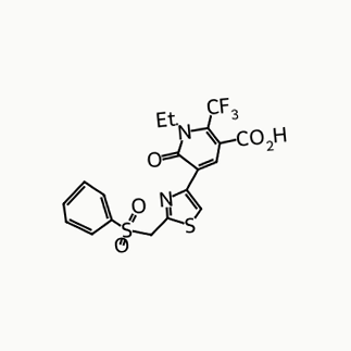 CCn1c(C(F)(F)F)c(C(=O)O)cc(-c2csc(CS(=O)(=O)c3ccccc3)n2)c1=O